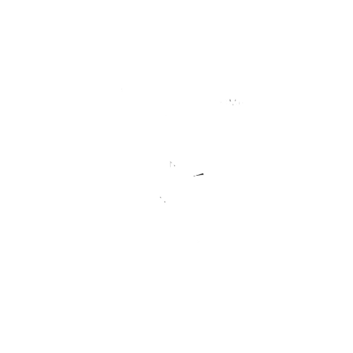 COc1cccc([C@@H](c2ccc(Br)cc2)N2C[C@@H](C)N(Cc3ccccc3)C[C@@H]2C)c1